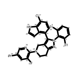 CCc1cccc(CC)c1-n1nc2c(c1-c1ccc(Cl)c3[nH]ccc13)CN(c1ncc(C(C)C)cc1F)CC2